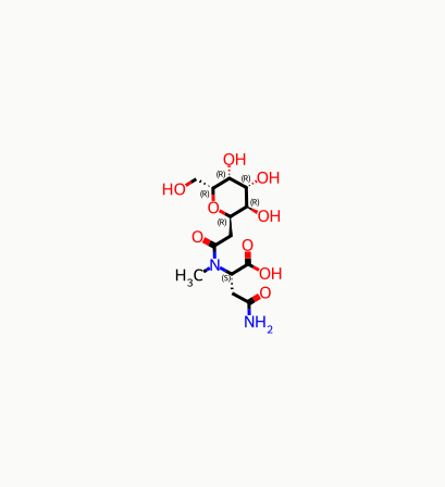 CN(C(=O)C[C@H]1O[C@H](CO)[C@H](O)[C@H](O)[C@H]1O)[C@@H](CC(N)=O)C(=O)O